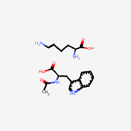 CC(=O)NC(Cc1c[nH]c2ccccc12)C(=O)O.NCCCCC(N)C(=O)O